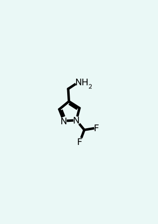 NCc1cnn(C(F)F)c1